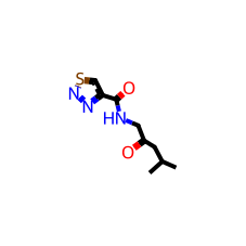 CC(C)CC(=O)CNC(=O)c1csnn1